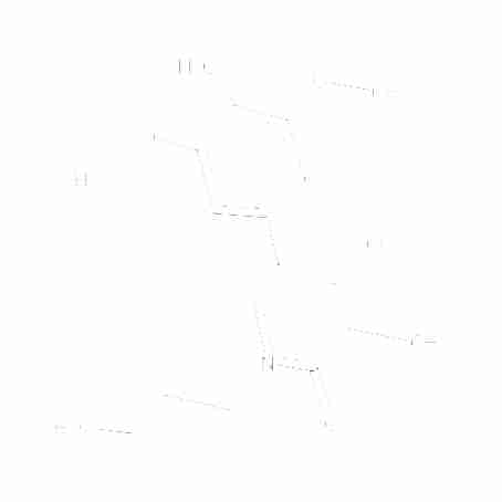 CCCCn1cc(-c2cc(OC)c(C)c(OC)c2)c(C)c(C)c1=O